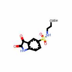 COCCNS(=O)(=O)c1ccc2c(c1)C(=O)C(=O)N2